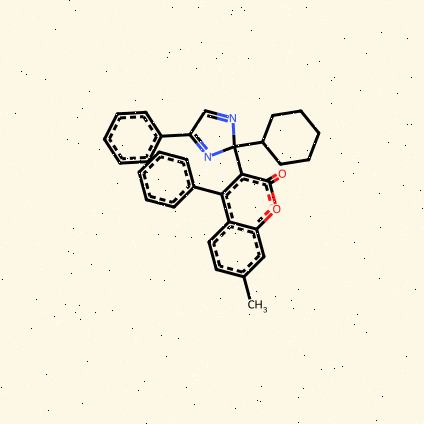 Cc1ccc2c(-c3ccccc3)c(C3(C4CCCCC4)N=CC(c4ccccc4)=N3)c(=O)oc2c1